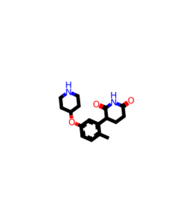 Cc1ccc(OC2CCNCC2)cc1C1CCC(=O)NC1=O